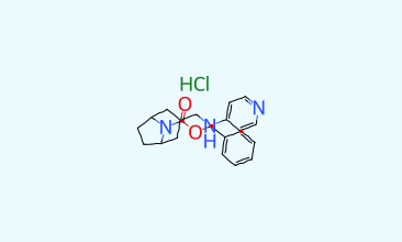 Cl.O=C(OCc1ccccc1)N1C2CCC1CC(CNc1ccncc1)C2